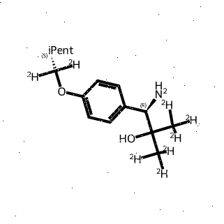 [2H]C([2H])(Oc1ccc([C@@H](N)C(O)(C([2H])([2H])[2H])C([2H])([2H])[2H])cc1)[C@@H](C)CCC